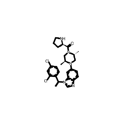 CC(c1ccc(Cl)cc1Cl)n1cnc2ccc(N3C[C@@H](C)N(C(=O)[C@H]4CCCN4)C[C@@H]3C)cc21